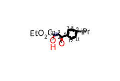 CCOC(=O)/C(O)=C/C(=O)c1ccc(C(C)C)cc1